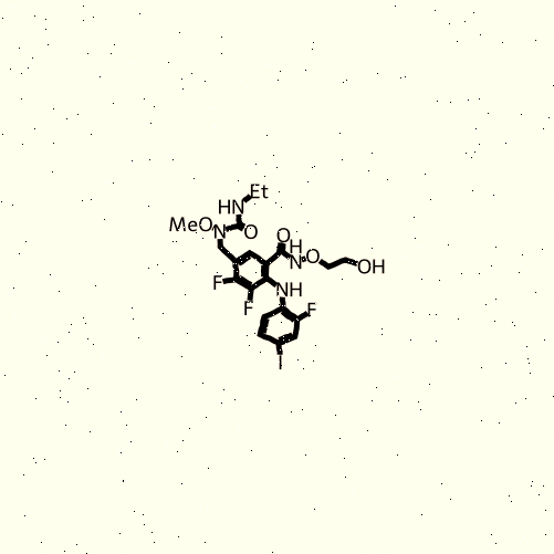 CCNC(=O)N(Cc1cc(C(=O)NOCCO)c(Nc2ccc(I)cc2F)c(F)c1F)OC